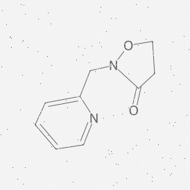 O=C1CCON1Cc1ccccn1